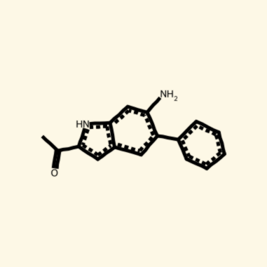 CC(=O)c1cc2cc(-c3ccccc3)c(N)cc2[nH]1